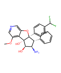 COc1cncc2c1[C@]1(O)[C@H](O)[C@H](N)[C@@H](c3ccccc3)[C@]1(c1ccc(C(F)F)cc1)O2